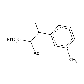 CCOC(=O)C(C(C)=O)C(C)c1cccc(C(F)(F)F)c1